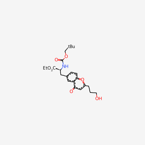 CCOC(=O)[C@H](Cc1ccc2oc(CCCO)cc(=O)c2c1)NC(=O)OCC(C)(C)C